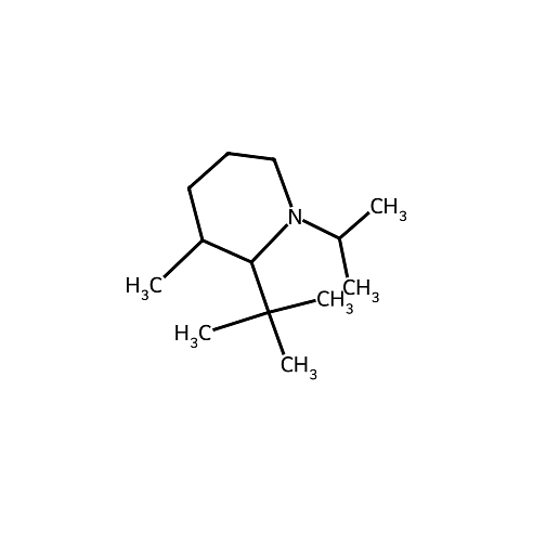 CC1CCCN(C(C)C)C1C(C)(C)C